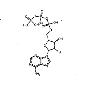 Nc1ncnc2c1ncn2[C@@H]1O[C@H](COP(=O)(O)OP(=O)(O)OP(=O)(O)O)[C@@H](O)[C@H]1S